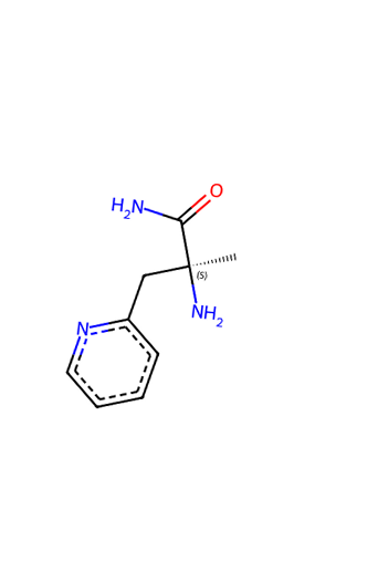 C[C@](N)(Cc1ccccn1)C(N)=O